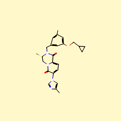 Cc1cn(-c2ccc3n(c2=O)C[C@@H](C)N(Cc2cc(OCC4CC4)cc(C(F)(F)F)c2)C3=O)cn1